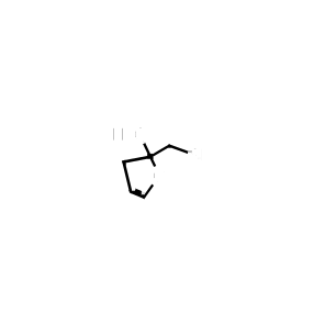 CC1(CS)CC=CO1